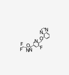 Fc1cc(-c2nnc(C(F)F)o2)cnc1COc1cccc2nccnc12